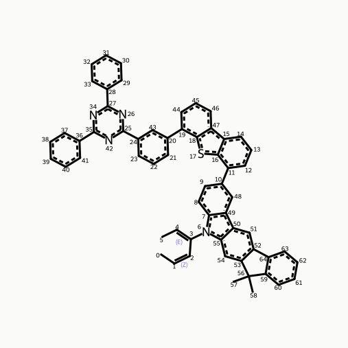 C/C=C\C(=C/C)n1c2ccc(-c3cccc4c3sc3c(-c5cccc(-c6nc(-c7ccccc7)nc(-c7ccccc7)n6)c5)cccc34)cc2c2cc3c(cc21)C(C)(C)c1ccccc1-3